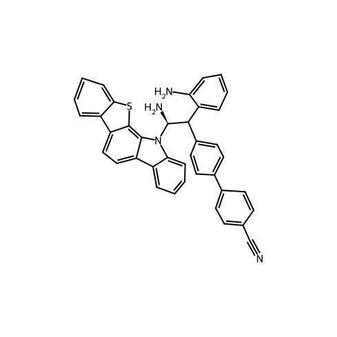 N#Cc1ccc(-c2ccc(C(c3ccccc3N)[C@H](N)n3c4ccccc4c4ccc5c6ccccc6sc5c43)cc2)cc1